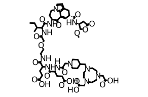 CCC(C)C(NC(=O)COCCNC(=O)C(CCC(=O)O)NC(=O)C(CCC(=O)O)NC(=O)CN1CCC(CN2CCN(CC(=O)O)CCN(CC(=O)O)CC2)CC1)C(=O)N[C@H]1CCn2ccc3c2C(=C[C@@H](C(=O)N[C@H]2CC(=O)O[C@@H]2OC)C3)C1=O